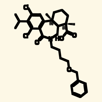 CC(C)c1c(Cl)cc2c(c1Cl)C(=O)N(CCCCOCc1ccccc1)CC1[C@](C)(C(=O)O)CCC[C@]21C